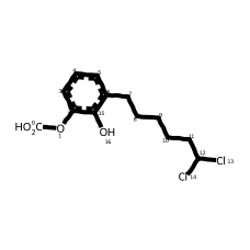 O=C(O)Oc1cccc(CCCCCC(Cl)Cl)c1O